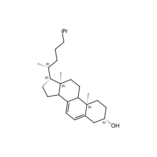 CC(C)CCC[C@@H](C)[C@H]1CCC2C3=CC=C4C[C@@H](O)CC[C@]4(C)C3CC[C@@]21C